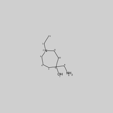 CCN1CCCC(O)(CN)CC1